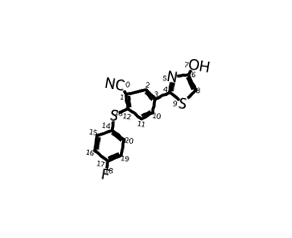 N#Cc1cc(-c2nc(O)cs2)ccc1Sc1ccc(F)cc1